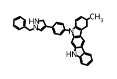 CC1C=Cc2c(c3cc4c(cc3n2-c2ccc(C3=CN(Cc5ccccc5)NC3)cc2)[nH]c2ccccc24)C1